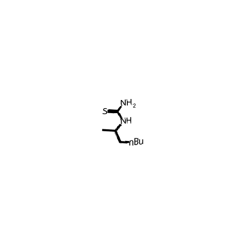 CCCCCC(C)NC(N)=S